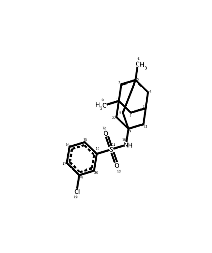 CC12CC3CC(C)(C1)CC(NS(=O)(=O)c1cccc(Cl)c1)(C3)C2